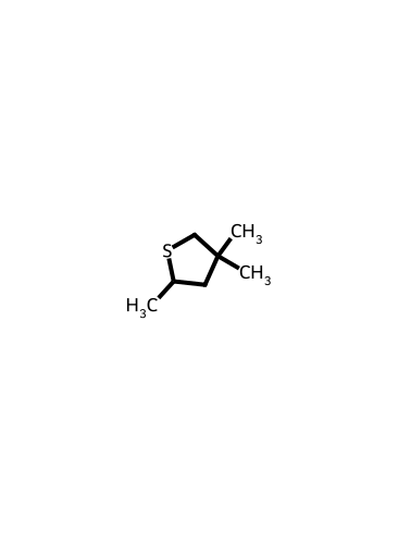 CC1CC(C)(C)CS1